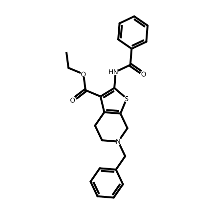 CCOC(=O)c1c(NC(=O)c2ccccc2)sc2c1CCN(Cc1ccccc1)C2